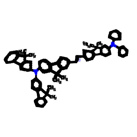 CC1(C)c2ccccc2-c2ccc(N(c3ccc4c(c3)C(C)(C)c3ccccc3-4)c3ccc4c(c3)C(C)(C)c3cc(/C=C/c5ccc6c(c5)C(C)(C)c5cc(N(c7ccccc7)c7ccccc7)ccc5-6)ccc3-4)cc21